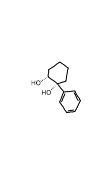 O[C@@H]1CCCC[C@@]1(O)c1ccccc1